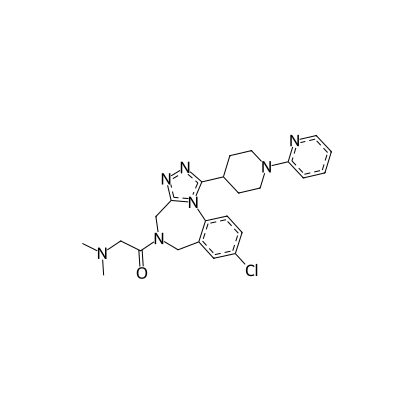 CN(C)CC(=O)N1Cc2cc(Cl)ccc2-n2c(nnc2C2CCN(c3ccccn3)CC2)C1